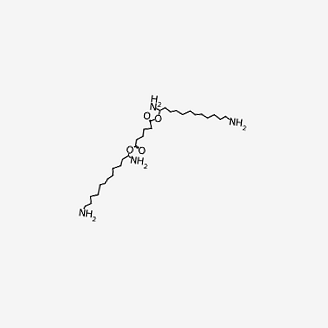 NCCCCCCCCCCCC(N)OC(=O)CCCCC(=O)OC(N)CCCCCCCCCCCN